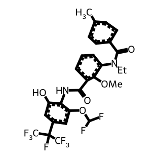 CCN(C(=O)c1ccc(C)cc1)c1cccc(C(=O)Nc2c(O)cc(C(F)(C(F)(F)F)C(F)(F)F)cc2OC(F)F)c1OC